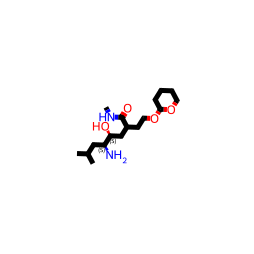 CNC(=O)C(CCOC1CCCCO1)C[C@H](O)[C@@H](N)CC(C)C